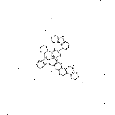 c1ccc(-n2c3ccccc3c3ccccc32)c(-c2nc(-c3ccc4ccc5c6ccccc6ccc5c4c3)nc(-c3cccc4oc5ccccc5c34)n2)c1